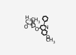 COc1ccc2c(OC3C[C@@H](C(C)=O)N(C)C3)cc(-c3ccccc3)nc2c1